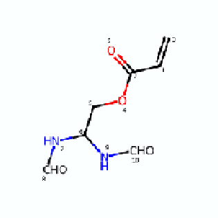 C=CC(=O)OCC(NC=O)NC=O